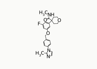 CNC(=O)C1(c2cc(F)cc(OCc3ccc(-n4ccnc4C)cc3)c2)CCOCC1